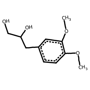 COc1ccc(CC(O)CO)cc1OC